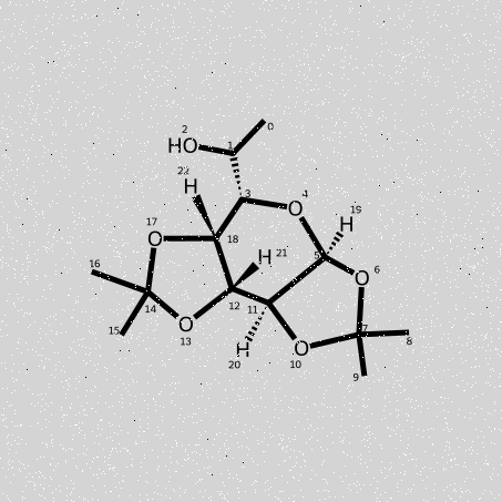 CC(O)[C@@H]1O[C@H]2OC(C)(C)O[C@H]2[C@@H]2OC(C)(C)O[C@@H]21